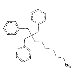 CCCCCCC[N+](Cc1ccccc1)(Cc1ccccc1)Cc1ccccc1